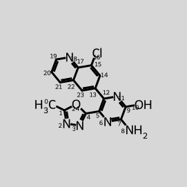 Cc1nnc(-c2nc(N)c(O)nc2-c2cc(Cl)c3ncccc3c2)o1